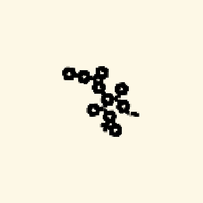 COc1ccc(N(c2ccccc2)c2cc(-c3ccc4c(c3)c3ccccc3n4-c3ccc(-c4ccccc4)cc3)cc(N(c3ccccc3)c3ccc4c(c3)C(C)(C)c3ccccc3-4)c2)cc1